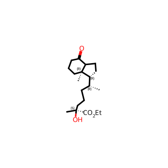 CCOC(=O)[C@@](C)(O)CCC[C@@H](C)[C@H]1CCC2C(=O)CCC[C@@]21C